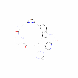 CCn1c(-c2cc(N3CCN[C@@H]4C[C@@H]43)cnc2[C@H](C)OC)c2c3cc(ccc31)-c1csc(n1)C[C@H](N)C(=O)N1CCC[C@H](N1)C(=O)OCC(C)(C)C2